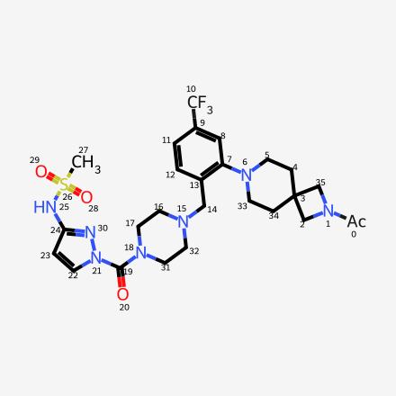 CC(=O)N1CC2(CCN(c3cc(C(F)(F)F)ccc3CN3CCN(C(=O)n4ccc(NS(C)(=O)=O)n4)CC3)CC2)C1